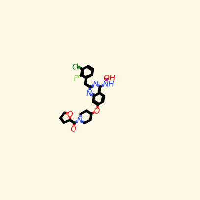 O=C(C1CCCO1)N1CCC(Oc2ccc3c(NO)nc(Cc4cccc(Cl)c4F)nc3c2)CC1